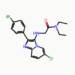 CCN(CC)C(=O)CNc1c(-c2ccc(Br)cc2)nc2ccc(Cl)cn12